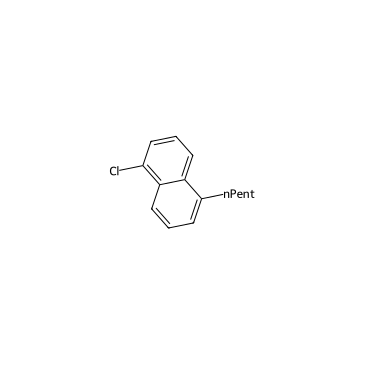 [CH2]CCCCc1cccc2c(Cl)cccc12